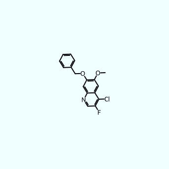 COc1cc2c(Cl)c(F)cnc2cc1OCc1ccccc1